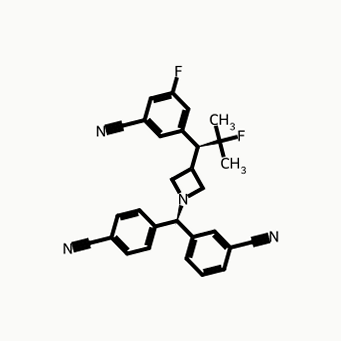 CC(C)(F)[C@H](c1cc(F)cc(C#N)c1)C1CN([C@H](c2ccc(C#N)cc2)c2cccc(C#N)c2)C1